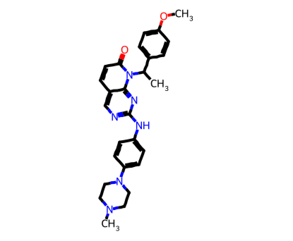 COc1ccc(C(C)n2c(=O)ccc3cnc(Nc4ccc(N5CCN(C)CC5)cc4)nc32)cc1